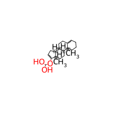 C[C@]12CCCC=C1CC[C@@H]1[C@@H]2CC[C@]2(C)C(OC(O)O)=CC[C@@H]12